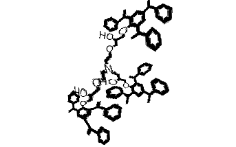 CC(c1ccccc1)c1cc(C(C)c2ccccc2)c(OCC(O)COCCN(CCOCC(O)COc2c(C(C)c3ccccc3)cc(C(C)c3ccccc3)cc2C(C)c2ccccc2)CC(O)COc2c(C(C)c3ccccc3)cc(C(C)c3ccccc3)cc2C(C)c2ccccc2)c(C(C)c2ccccc2)c1